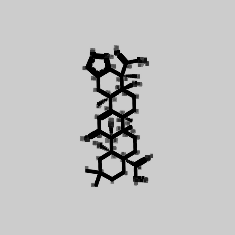 COC(=O)[C@]12CCC(C)(C)C[C@H]1[C@H]1C(=O)C=C3[C@@]4(C)Cc5cnoc5[C@@](C)(C(N)=O)[C@@H]4CC[C@@]3(C)[C@]1(C)CC2